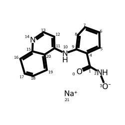 O=C(N[O-])c1ccccc1Nc1ccnc2ccccc12.[Na+]